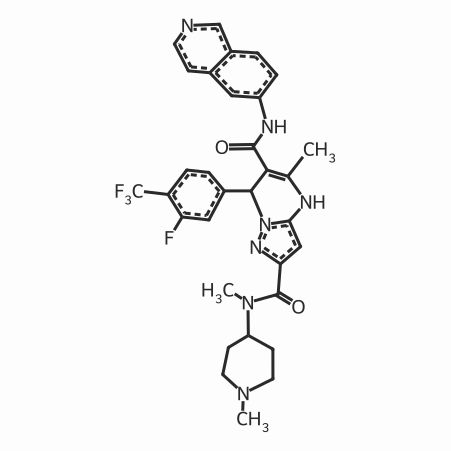 CC1=C(C(=O)Nc2ccc3cnccc3c2)C(c2ccc(C(F)(F)F)c(F)c2)n2nc(C(=O)N(C)C3CCN(C)CC3)cc2N1